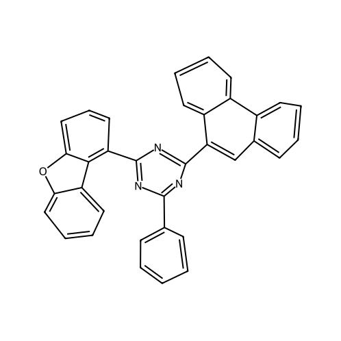 c1ccc(-c2nc(-c3cc4ccccc4c4ccccc34)nc(-c3cccc4oc5ccccc5c34)n2)cc1